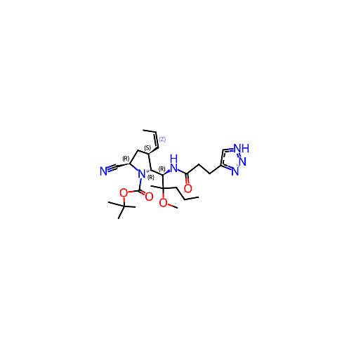 C/C=C\[C@@H]1C[C@H](C#N)N(C(=O)OC(C)(C)C)[C@H]1[C@@H](NC(=O)CCc1c[nH]nn1)C(C)(CCC)OC